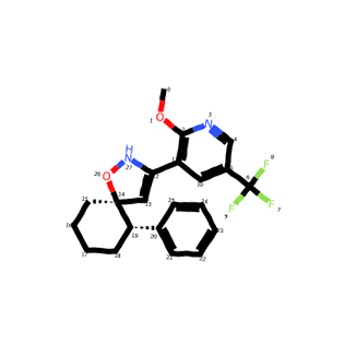 COc1ncc(C(F)(F)F)cc1C1=C[C@]2(CCCC[C@H]2c2ccccc2)ON1